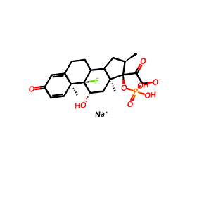 C[C@@H]1CC2C3CCC4=CC(=O)C=C[C@]4(C)[C@@]3(F)[C@@H](O)C[C@]2(C)[C@@]1(OP(=O)(O)O)C(=O)C[O-].[Na+]